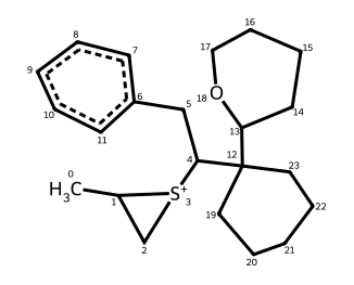 CC1C[S+]1C(Cc1ccccc1)C1(C2CCCCO2)CCCCC1